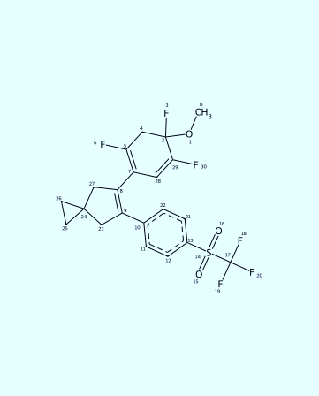 COC1(F)CC(F)=C(C2=C(c3ccc(S(=O)(=O)C(F)(F)F)cc3)CC3(CC3)C2)C=C1F